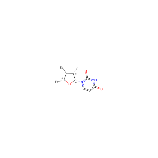 CCC1[C@@H](CC)O[C@@H](n2ccc(=O)[nH]c2=O)[C@H]1C